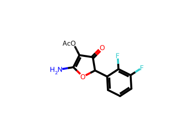 CC(=O)OC1=C(N)OC(c2cccc(F)c2F)C1=O